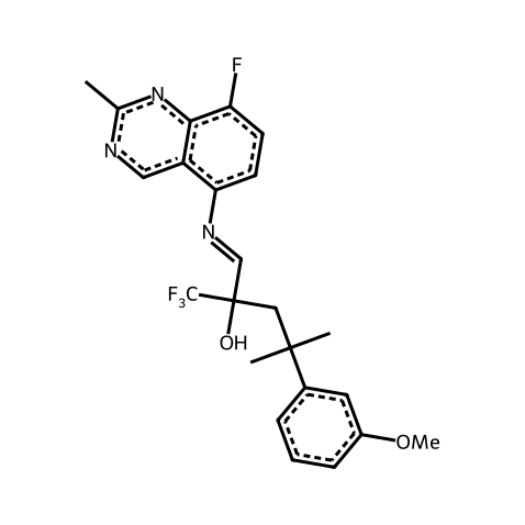 COc1cccc(C(C)(C)CC(O)(C=Nc2ccc(F)c3nc(C)ncc23)C(F)(F)F)c1